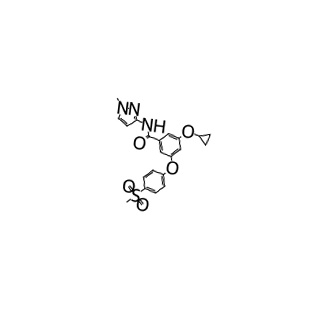 Cn1ccc(NC(=O)c2cc(Oc3ccc(S(C)(=O)=O)cc3)cc(OC3CC3)c2)n1